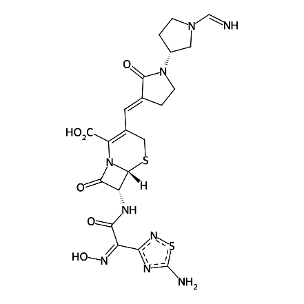 N=CN1CC[C@@H](N2CC/C(=C\C3=C(C(=O)O)N4C(=O)[C@@H](NC(=O)/C(=N\O)c5nsc(N)n5)[C@H]4SC3)C2=O)C1